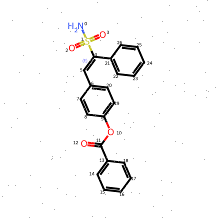 NS(=O)(=O)/C(=C/c1ccc(OC(=O)c2ccccc2)cc1)c1ccccc1